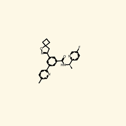 Cc1ccc(-c2cc(C(=O)N[C@H](C)c3ccc(F)cn3)cc(C3=NOC4(CCC4)C3)c2)nc1